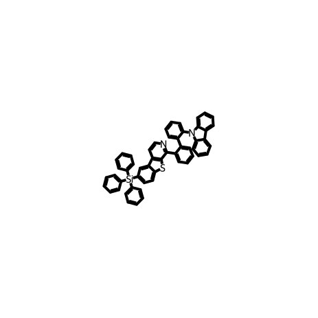 c1ccc([Si](c2ccccc2)(c2ccccc2)c2ccc3sc4c(-c5ccccc5-c5ccccc5-n5c6ccccc6c6ccccc65)nccc4c3c2)cc1